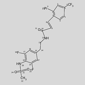 CCCc1cc(C(F)(F)F)ccc1C=CC(=O)NCCc1cc(F)c(NS(C)(=O)=O)c(F)c1